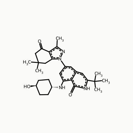 Cc1nn(-c2cc(N[C@H]3CC[C@H](O)CC3)c3c(=O)[nH]c(C(C)(C)C)cc3c2)c2c1C(=O)CC(C)(C)C2